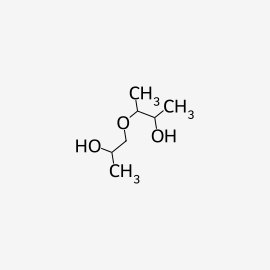 CC(O)COC(C)C(C)O